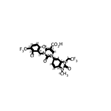 Cn1c(=O)n(CC(F)(F)F)c2cc(-n3cc(C(=O)O)c(=O)n(Cc4cccc(C(F)(F)F)c4Cl)c3=O)ccc21